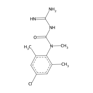 Cc1cc(Cl)cc(C)c1N(C)C(=O)NC(=N)N